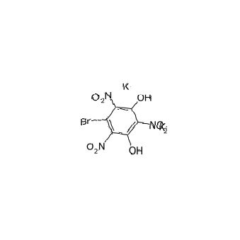 O=[N+]([O-])c1c(O)c([N+](=O)[O-])c(Br)c([N+](=O)[O-])c1O.[K].[K]